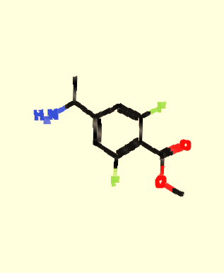 COC(=O)c1c(F)cc(C(C)N)cc1F